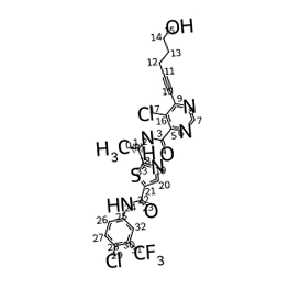 C[C@@H](NC(=O)c1ncnc(C#CCCCO)c1Cl)c1ncc(C(=O)Nc2ccc(Cl)c(C(F)(F)F)c2)s1